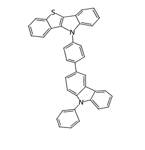 c1ccc(-n2c3ccccc3c3cc(-c4ccc(-n5c6ccccc6c6sc7ccccc7c65)cc4)ccc32)cc1